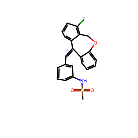 CS(=O)(=O)Nc1cccc(/C=C2\c3ccccc3OCc3c(F)cccc32)c1